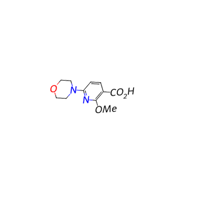 COc1nc(N2CCOCC2)ccc1C(=O)O